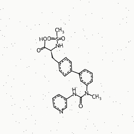 CN(C(=O)Nc1cccnc1)c1cccc(-c2ccc(C[C@H](NS(C)(=O)=O)C(=O)O)cc2)c1